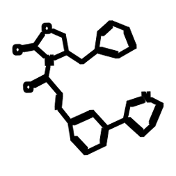 O=C(C=Cc1cccc(-c2cccnc2)c1)N1C(=O)OCC1Cc1ccccc1